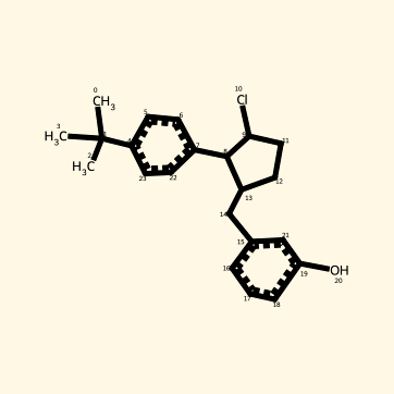 CC(C)(C)c1ccc(C2C(Cl)CCC2Cc2cccc(O)c2)cc1